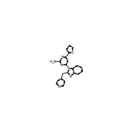 Nc1nc(-c2ccco2)cc(-n2c(Cc3ccncc3)nc3ccccc32)n1